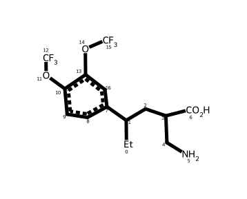 CCC(CC(CN)C(=O)O)c1ccc(OC(F)(F)F)c(OC(F)(F)F)c1